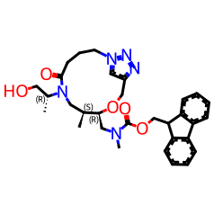 C[C@H](CO)N1C[C@H](C)[C@H](CN(C)C(=O)OCC2c3ccccc3-c3ccccc32)OCc2cn(nn2)CCCC1=O